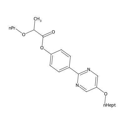 CCCCCCCOc1cnc(-c2ccc(OC(=O)C(C)OCCC)cc2)nc1